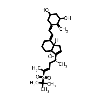 C=C1/C(=C\C=C2/CCC[C@]3(C)C([C@H](C)C/C=C(\C)S(=O)(=O)C(C)(C)C)=CC[C@@H]23)CC(O)CC1O